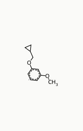 COc1c[c]cc(OCC2CC2)c1